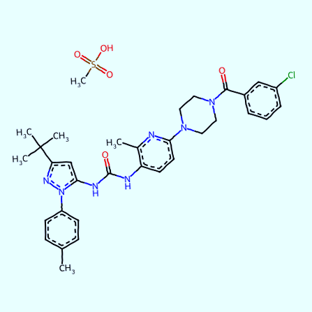 CS(=O)(=O)O.Cc1ccc(-n2nc(C(C)(C)C)cc2NC(=O)Nc2ccc(N3CCN(C(=O)c4cccc(Cl)c4)CC3)nc2C)cc1